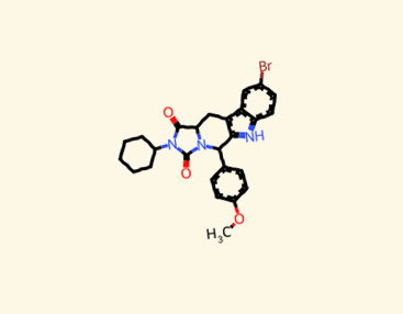 COc1ccc(C2c3[nH]c4ccc(Br)cc4c3CC3C(=O)N(C4CCCCC4)C(=O)N32)cc1